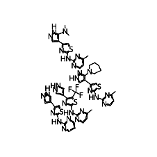 Cc1ccnc(Nc2nc(-c3c[nH]nc3N3CCCCC3)cs2)n1.Cc1ccnc(Nc2nc(-c3cn[nH]c3)c(C(F)(F)F)s2)n1.Cc1ccnc(Nc2nc(-c3cn[nH]c3N(C)C)cs2)n1.c1cnc(Nc2nc(-c3cn[nH]c3)cs2)nc1